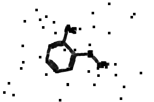 CCCSc1ccccc1C(C)=O